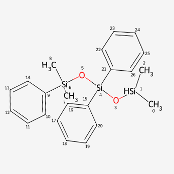 C[SiH](C)O[Si](O[Si](C)(C)c1ccccc1)(c1ccccc1)c1ccccc1